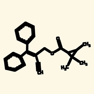 C#CC(COC(=O)C1C(C)C1(C)C)=C(c1ccccc1)c1ccccc1